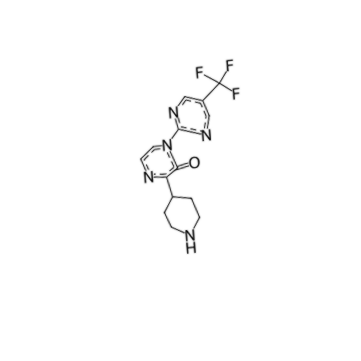 O=c1c(C2CCNCC2)nccn1-c1ncc(C(F)(F)F)cn1